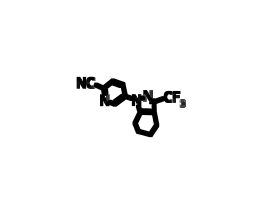 N#Cc1ccc(-n2nc(C(F)(F)F)c3c2CCCC3)cn1